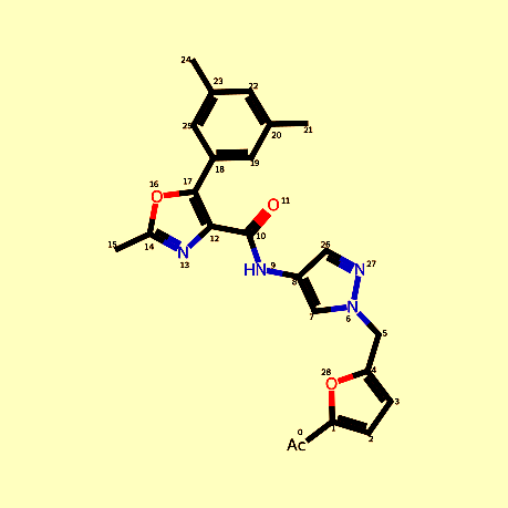 CC(=O)c1ccc(Cn2cc(NC(=O)c3nc(C)oc3-c3cc(C)cc(C)c3)cn2)o1